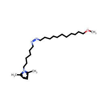 COCCCCCCCCCCC/N=N\CCCCCCn1c(C)ccc1C